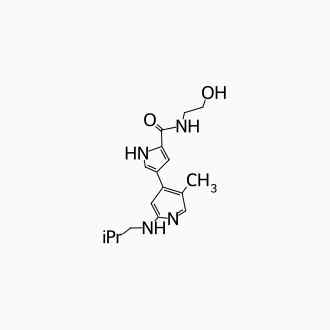 Cc1cnc(NCC(C)C)cc1-c1c[nH]c(C(=O)NCCO)c1